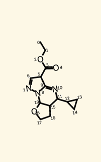 CCOC(=O)C1C=NN2C1=NC(C1CC1)C1CCOC12